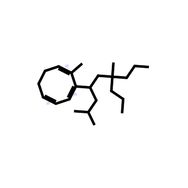 CCCC(C)(CCC)CC(CC(C)C)C1=C/C=C\CC/C=C\1C